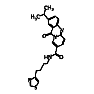 CC(C)c1ccc2nc3ccc(C(=O)NCCCCc4cscn4)cn3c(=O)c2c1